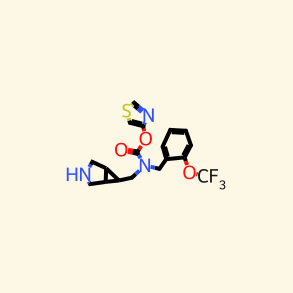 O=C(Oc1cscn1)N(Cc1ccccc1OC(F)(F)F)CC1C2CNCC21